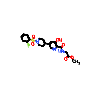 COC(=O)CNC(=O)c1ncc(C2=CCN(S(=O)(=O)c3ccccc3F)CC2)cc1O